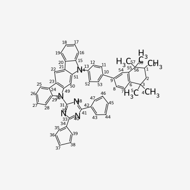 CC1CC(C)(C)c2ccc(-c3ccc(-n4c5ccccc5c5cc6c7ccccc7n(-c7nc(-c8ccccc8)nc(-c8ccccc8)n7)c6cc54)cc3)cc2C1(C)C